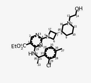 CCOC(=O)c1cnc(N2CC([C@H]3CCCN(CCO)C3)C2)nc1N[C@H](C)c1ccc(C)cc1Cl